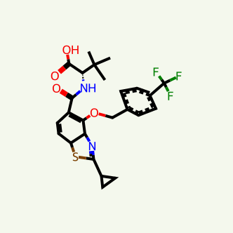 CC(C)(C)[C@H](NC(=O)C1=C(OCc2ccc(C(F)(F)F)cc2)C2N=C(C3CC3)SC2C=C1)C(=O)O